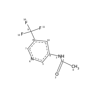 CC(=O)Nc1cncc(C(F)(F)F)c1